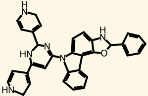 C1=CC(C2=CC(n3c4ccccc4c4c5c(ccc43)NC(c3ccccc3)O5)=NC(C3=CCNC=C3)N2)=CCN1